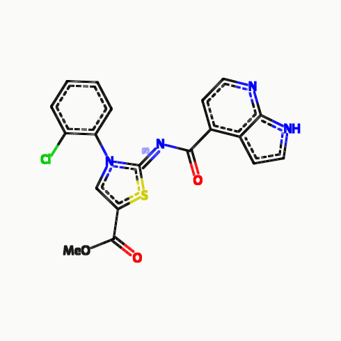 COC(=O)c1cn(-c2ccccc2Cl)/c(=N/C(=O)c2ccnc3[nH]ccc23)s1